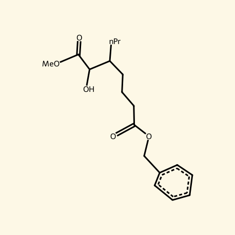 CCCC(CCCC(=O)OCc1ccccc1)C(O)C(=O)OC